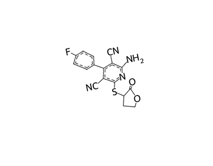 N#Cc1c(N)nc(SC2CCOC2=O)c(C#N)c1-c1ccc(F)cc1